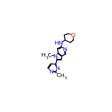 Cc1nccc(-c2cc3cnc(NC4CCOCC4)cc3n2C)n1